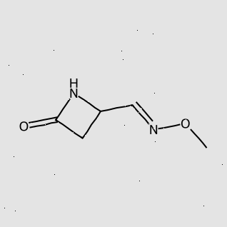 CON=CC1CC(=O)N1